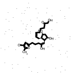 Cc1sc(CCC/C(O)=C\[C@H]2[C@@H](C/C=C\CCCC(=O)CO)[C@@H](O)C[C@H]2O)cc1Cl